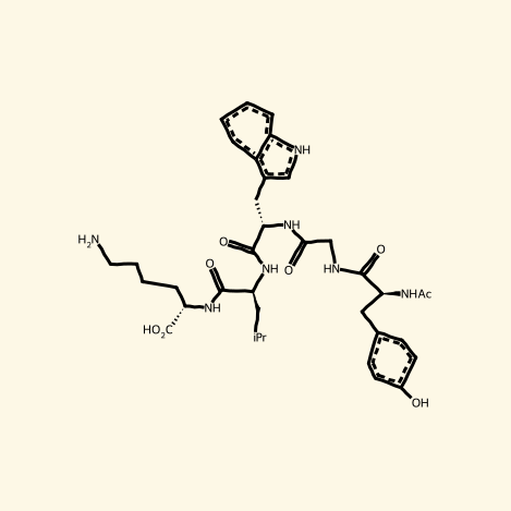 CC(=O)N[C@@H](Cc1ccc(O)cc1)C(=O)NCC(=O)N[C@@H](Cc1c[nH]c2ccccc12)C(=O)N[C@@H](CC(C)C)C(=O)N[C@@H](CCCCN)C(=O)O